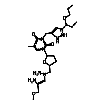 CCCOC(CC)N1C=C(Cn2c(=O)c(C)cn(C3CC[C@@H](CN(N)/C=C(\N)COC)O3)c2=O)NN1